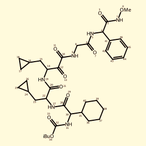 CONC(=O)C(NC(=O)CNC(=O)C(=O)C(CC1CC1)NC(=O)C(CC1CC1)NC(=O)C(NC(=O)OCC(C)C)C1CCCCC1)c1ccccc1